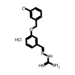 Cl.N=C(N)N/N=C/c1cccc(OCc2cccc(Cl)c2)c1